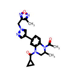 CC(=O)N1c2ccc(-c3cnn(Cc4nonc4C)c3)cc2N(C(=O)C2CC2)CC1C